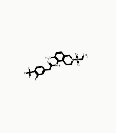 CCS(=O)(=O)N1CCc2c(ccc(C)c2NC(=O)Cc2ccc(C(F)(F)F)c(F)c2)C1